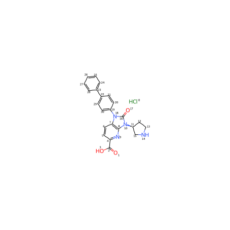 Cl.O=C(O)c1ccc2c(n1)n([C@H]1CCNC1)c(=O)n2-c1ccc(-c2ccccc2)cc1